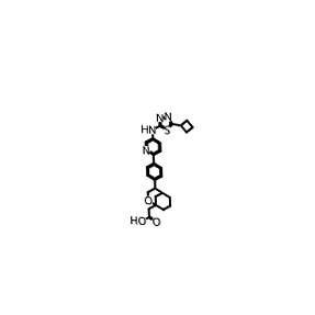 O=C(O)CC12CCCC(C1)C(c1ccc(-c3ccc(Nc4nnc(C5CCC5)s4)cn3)cc1)CO2